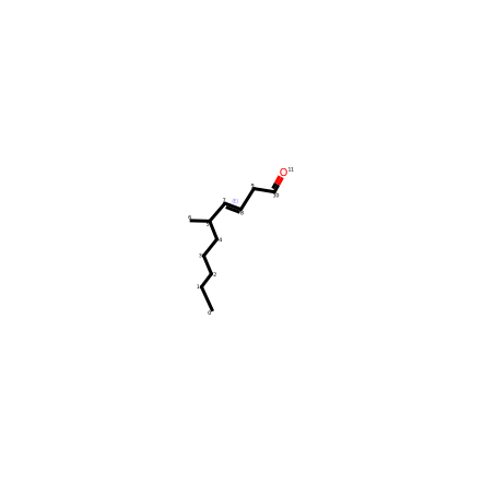 CCCCCC(C)/C=C/CC=O